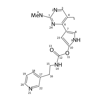 CNc1ncc(C)c(-c2c[nH]c(OC(=O)NCCc3cccnc3)c2)n1